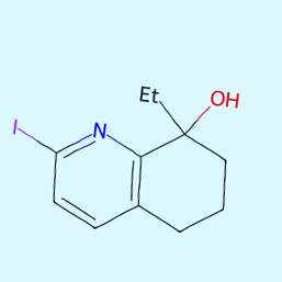 CCC1(O)CCCc2ccc(I)nc21